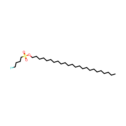 CCCCCCCCCCCCCCCCCCCCCCCCOS(=O)(=O)CCCCF